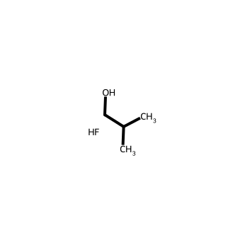 CC(C)CO.F